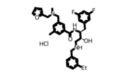 CCc1cccc(CNC[C@@H](O)[C@H](Cc2cc(F)cc(F)c2)NC(=O)c2cc(C)cc(CN(C)Cc3ccco3)c2)c1.Cl